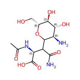 CC(=O)N[C@H](C(=O)O)C(C(N)=O)C1O[C@H](CO)[C@@H](O)[C@H](O)[C@H]1N